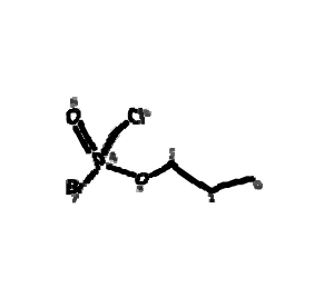 CCCOP(=O)(Cl)Br